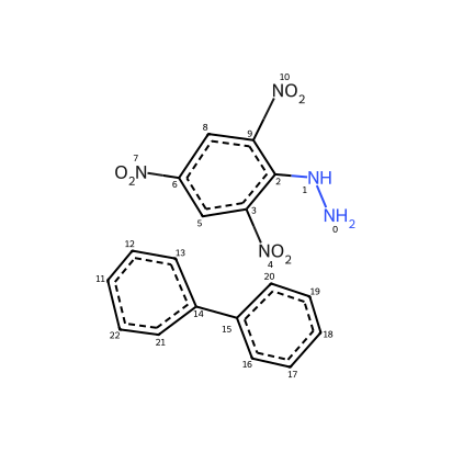 NNc1c([N+](=O)[O-])cc([N+](=O)[O-])cc1[N+](=O)[O-].c1ccc(-c2ccccc2)cc1